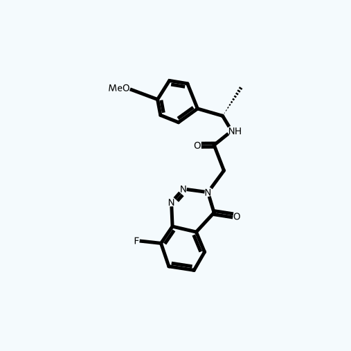 COc1ccc([C@H](C)NC(=O)Cn2nnc3c(F)cccc3c2=O)cc1